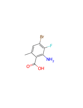 Cc1cc(Br)c(F)c(N)c1C(=O)O